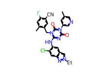 CCn1cc2cc(Nc3nc(=O)n(-c4cncc(C)c4)c(=O)n3Cc3cc(C#N)c(F)cc3C)c(Cl)cc2n1